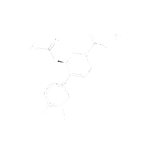 Cc1ccc(C2=CCN(C(=O)OC(C)(C)C)C[C@@H]2OC(=O)C(C)(C)C)cc1F